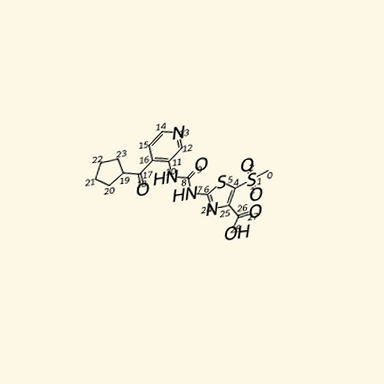 CS(=O)(=O)c1sc(NC(=O)Nc2cnccc2C(=O)C2CCCC2)nc1C(=O)O